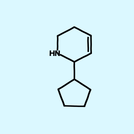 C1=CC(C2CCCC2)NCC1